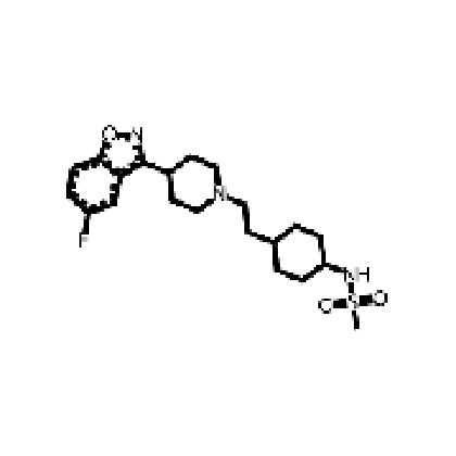 CS(=O)(=O)NC1CCC(CCN2CCC(c3noc4ccc(F)cc34)CC2)CC1